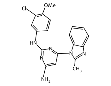 COc1ccc(Nc2nc(N)cc(-n3c(C)nc4ccccc43)n2)cc1Cl